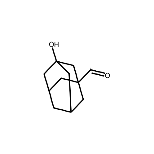 O=[C]C12CC3CC(CC(O)(C3)C1)C2